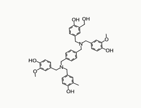 COc1cc(CN(Cc2ccc(CN(Cc3ccc(O)c(CO)c3)Cc3ccc(O)c(OC)c3)cc2)Cc2ccc(O)c(C)c2)ccc1O